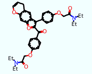 CCN(CC)C(=O)COc1ccc(C(=O)c2oc3cc4c(cc3c2-c2ccc(OCC(=O)N(CC)CC)cc2)CC=CO4)cc1